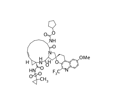 COc1ccc2nc(C(F)(F)F)c3c(c2c1)CC[C@]1(C[C@H]2C(=O)N[C@]4(C(=O)NS(=O)(=O)C5(C)CC5)C[C@H]4/C=C\CCCCC[C@H](NC(=O)OC4CCCC4)C(=O)N2C1)O3